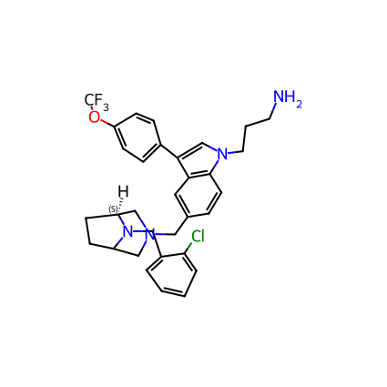 NCCCn1cc(-c2ccc(OC(F)(F)F)cc2)c2cc(CN3CC4CC[C@@H](C3)N4Cc3ccccc3Cl)ccc21